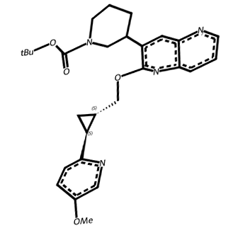 COc1ccc([C@H]2C[C@@H]2COc2nc3cccnc3cc2C2CCCN(C(=O)OC(C)(C)C)C2)nc1